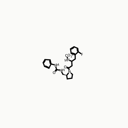 O=C(O)NC(CC(=O)N1CCC[C@H]1CNC(=O)Nc1ccccc1)Cc1ccccc1F